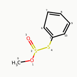 COS(=O)Sc1ccccc1